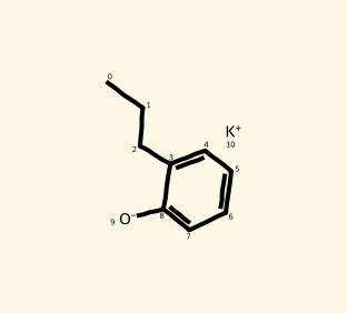 CCCc1ccccc1[O-].[K+]